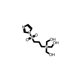 O=S(=O)(CCC[Si](CO)(CO)CO)n1ccnc1